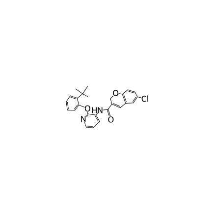 CC(C)(C)c1ccccc1Oc1ncccc1NC(=O)C1=Cc2cc(Cl)ccc2OC1